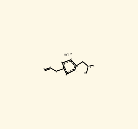 C=CCc1ccc(CN(C)C)cc1.Cl